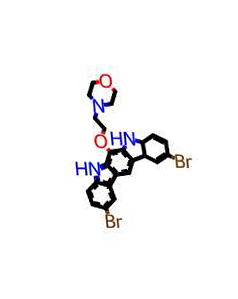 BrC1=CC2c3cc4c([nH]c5ccc(Br)cc54)c(OCCN4CCOCC4)c3NC2C=C1